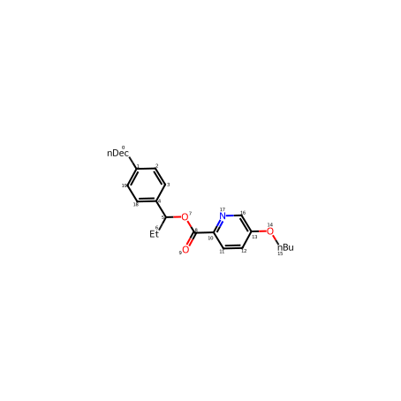 CCCCCCCCCCc1ccc(C(CC)OC(=O)c2ccc(OCCCC)cn2)cc1